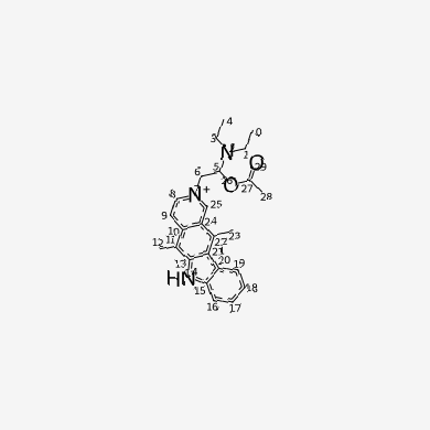 CCN(CC)C(C[n+]1ccc2c(C)c3[nH]c4ccccc4c3c(C)c2c1)OC(C)=O